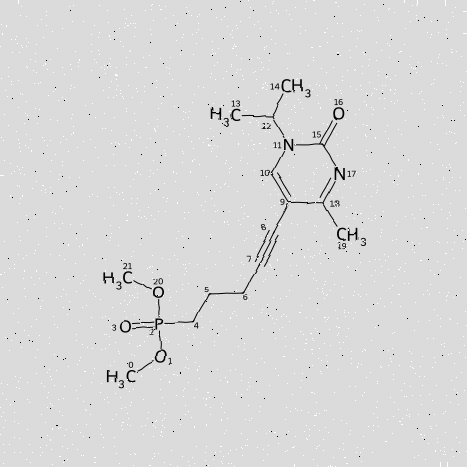 COP(=O)(CCCC#Cc1cn(C(C)C)c(=O)nc1C)OC